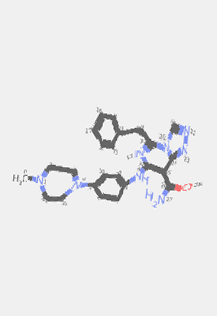 CN1CCN(c2ccc(Nc3nc(Cc4ccccc4)n4cnnc4c3C(N)=O)cc2)CC1